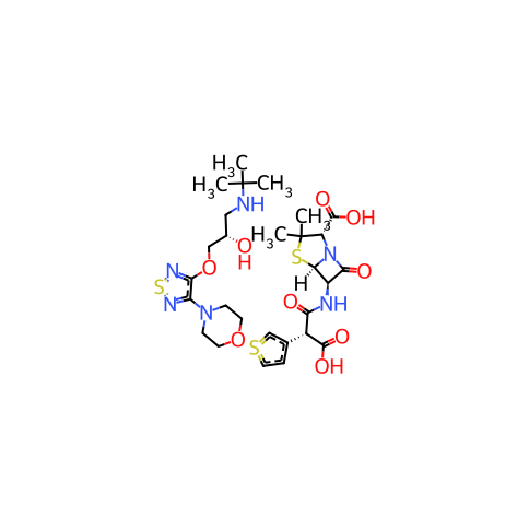 CC(C)(C)NC[C@H](O)COc1nsnc1N1CCOCC1.CC1(C)S[C@@H]2[C@H](NC(=O)[C@H](C(=O)O)c3ccsc3)C(=O)N2[C@H]1C(=O)O